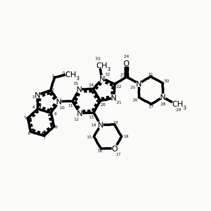 CCc1nc2ccccc2n1-c1nc(N2CCOCC2)c2nc(C(=O)N3CCN(C)CC3)n(C)c2n1